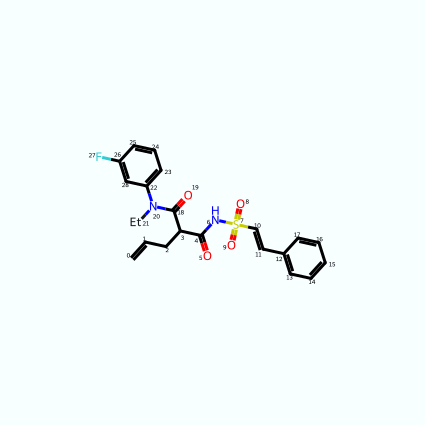 C=CCC(C(=O)NS(=O)(=O)/C=C/c1ccccc1)C(=O)N(CC)c1cccc(F)c1